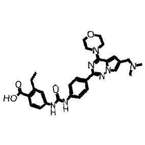 CCc1cc(NC(=O)Nc2ccc(-c3nc(N4CCOCC4)c4cc(CN(C)C)cn4n3)cc2)ccc1C(=O)O